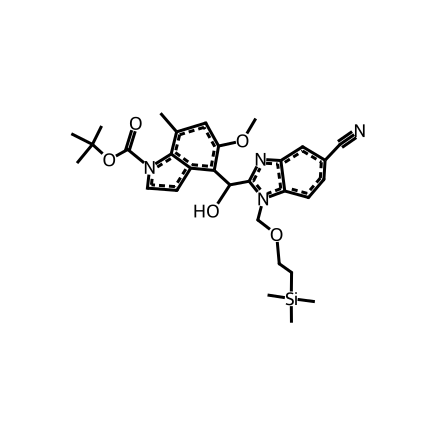 COc1cc(C)c2c(ccn2C(=O)OC(C)(C)C)c1C(O)c1nc2cc(C#N)ccc2n1COCC[Si](C)(C)C